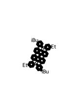 CCc1ccc(N(c2ccc(C(C)CC)cc2)c2c3ccccc3c(-c3c4ccccc4c(N(c4ccc(CC)cc4)c4ccc(C(C)CC)cc4)c4ccccc34)c3ccccc23)cc1